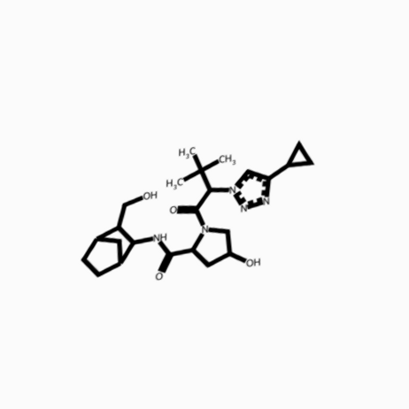 CC(C)(C)C(C(=O)N1CC(O)CC1C(=O)NC1C2CCC(C2)C1CO)n1cc(C2CC2)nn1